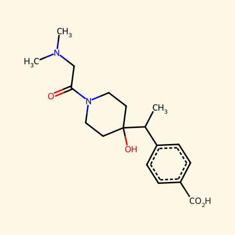 CC(c1ccc(C(=O)O)cc1)C1(O)CCN(C(=O)CN(C)C)CC1